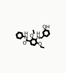 CCOc1ccc(C(=O)Nc2ccccc2)c(OCC)c1NCc1cccc(O)c1